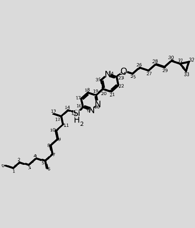 CCCCCC(C)CCCCCC(C)C[SiH2]c1ccc(-c2ccc(OCCCCCCC3CC3)nc2)nn1